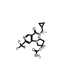 C[C@H](NC(=O)c1cnc(C(F)(F)F)cc1N1CC[C@](C)(OC(N)=O)C1)C1CC1